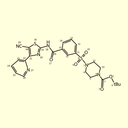 CC(C)(C)OC(=O)N1CCN(S(=O)(=O)c2cccc(C(=O)Nc3nc(-c4ccccn4)c(C#N)s3)c2)CC1